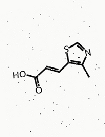 Cc1ncsc1/C=C/C(=O)O